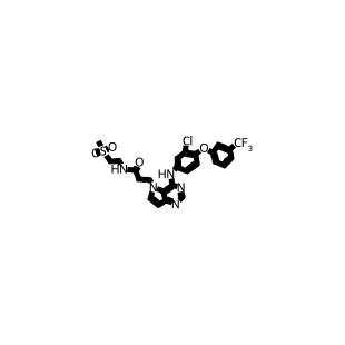 CS(=O)(=O)CCNC(=O)CCn1ccc2ncnc(Nc3ccc(Oc4cccc(C(F)(F)F)c4)c(Cl)c3)c21